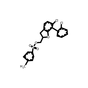 Cc1ccc(S(=O)(=O)OCC2Cc3ccc(Cl)c(-c4ccccc4Cl)c3O2)cc1